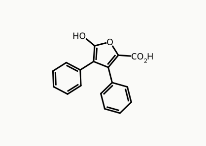 O=C(O)c1oc(O)c(-c2ccccc2)c1-c1ccccc1